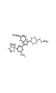 COC1(c2cc(C)cc(-n3cc(C4CCC(CCOC(C)=O)CC4)c4cnc(NC(C)=O)cc43)n2)CCOC1